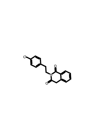 O=C1Cc2ccccc2C(=O)N1CCc1ccc(Cl)cc1